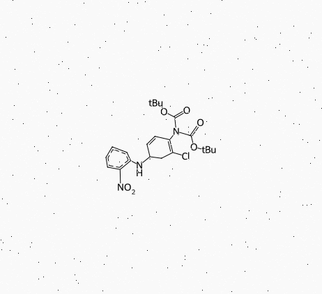 CC(C)(C)OC(=O)N(C(=O)OC(C)(C)C)C1=C(Cl)C[C](Nc2ccccc2[N+](=O)[O-])C=C1